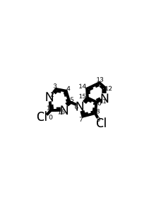 Clc1nccc(-n2cc(Cl)c3ncccc32)n1